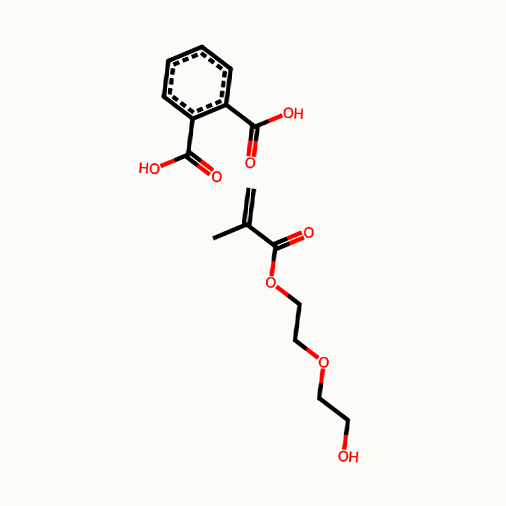 C=C(C)C(=O)OCCOCCO.O=C(O)c1ccccc1C(=O)O